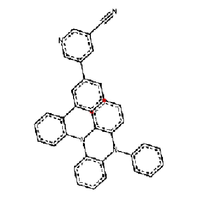 N#Cc1cncc(-c2cccc(-c3ccccc3N3c4ccccc4N(c4ccccc4)c4ccccc43)c2)c1